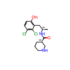 C[C@H](Cc1c(O)ccc(Cl)c1Cl)NC(=O)[C@@H]1CCCNC1